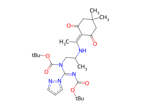 CC(NC(C)CN(C(=O)OC(C)(C)C)C(=NC(=O)OC(C)(C)C)n1cccn1)=C1C(=O)CC(C)(C)CC1=O